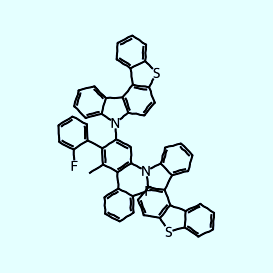 Cc1c(-c2ccccc2F)c(-n2c3ccccc3c3c4c(ccc32)sc2ccccc24)cc(-n2c3ccccc3c3c4c(ccc32)sc2ccccc24)c1-c1ccccc1F